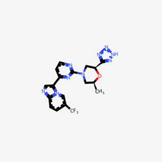 C[C@H]1CN(c2nccc(-c3cnc4ccc(C(F)(F)F)cn34)n2)C[C@@H](c2nn[nH]n2)O1